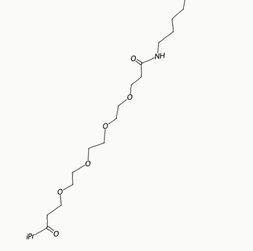 CC(=O)NCCCCNC(=O)CCOCCOCCOCCOCCC(=O)C(C)C